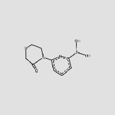 O=C1COCCN1c1cccc(B(O)O)n1